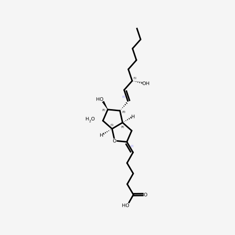 CCCCC[C@H](O)/C=C/[C@@H]1[C@H]2C/C(=C/CCCC(=O)O)O[C@H]2C[C@H]1O.O